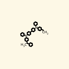 C=Cc1ccc(N(c2ccccc2)c2ccc(-c3ccc(N(c4ccccc4)c4ccc(C(C)c5ccccc5)cc4)cc3)cc2)cc1